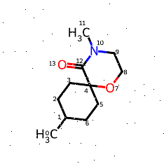 CC1CCC2(CC1)OCCN(C)C2=O